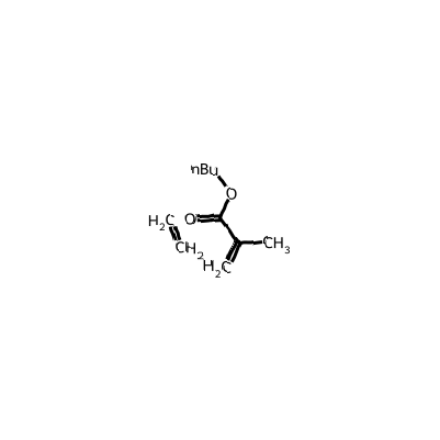 C=C.C=C(C)C(=O)OCCCC